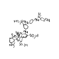 Nc1ccc(S(=O)(=O)O)c(N=Nc2c(S(=O)(=O)O)cc3cc(S(=O)(=O)O)c(N=Nc4ccc(Nc5ccc(N=Nc6ccc(O)cc6N)cc5)c(S(=O)(=O)O)c4)c(N)c3c2O)c1